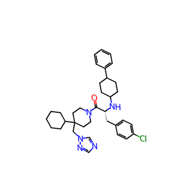 O=C([C@@H](Cc1ccc(Cl)cc1)NC1CCC(c2ccccc2)CC1)N1CCC(Cn2cncn2)(C2CCCCC2)CC1